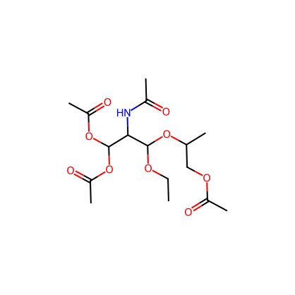 CCOC(OC(C)COC(C)=O)C(NC(C)=O)C(OC(C)=O)OC(C)=O